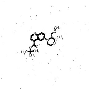 COC[C@H]1[C@H](C)OCCN1c1ccc2nccc(C(=O)OC(C)(C)C)c2c1